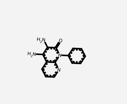 Nc1c(N)c2cccnc2n(-c2ccccc2)c1=O